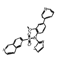 COc1cc(-c2cccnc2)ccc1N(c1nccs1)S(=O)(=O)c1ccc2cnccc2c1